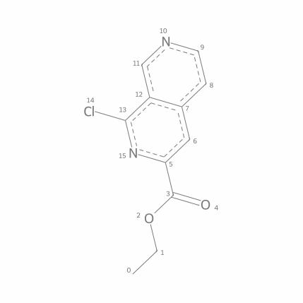 CCOC(=O)c1cc2ccncc2c(Cl)n1